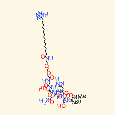 CCCC[C@H](NC(=O)[C@H](CCO)NC(=O)[C@H](Cc1c[nH]cn1)NC(=O)[C@H](CCC(N)=O)NC(=O)[C@H](CO)NC(=O)CNC(=O)COCCOCCNC(=O)CCCCCCCCCCCCCCCc1nnn[nH]1)C(=O)NC